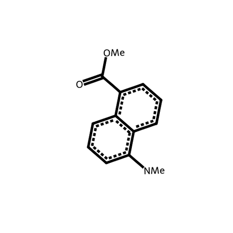 CNc1cccc2c(C(=O)OC)cccc12